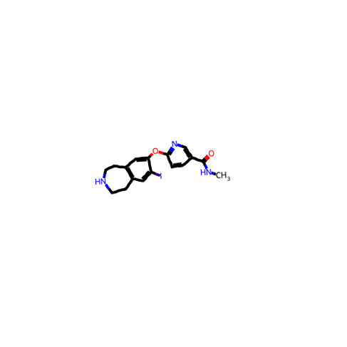 CNC(=O)c1ccc(Oc2cc3c(cc2I)CCNCC3)nc1